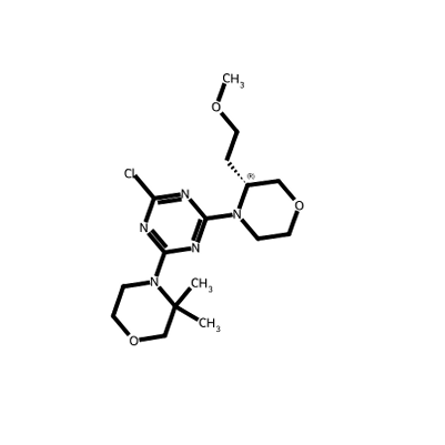 COCC[C@@H]1COCCN1c1nc(Cl)nc(N2CCOCC2(C)C)n1